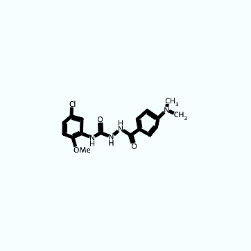 COc1ccc(Cl)cc1NC(=O)NNC(=O)c1ccc(N(C)C)cc1